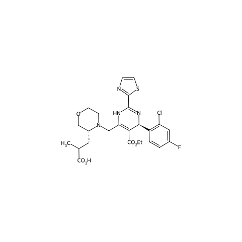 CCOC(=O)C1=C(CN2CCOC[C@H]2CC(C)C(=O)O)NC(c2nccs2)=N[C@H]1c1ccc(F)cc1Cl